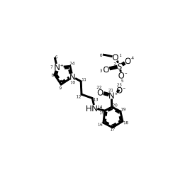 COS(=O)(=O)[O-].C[n+]1ccn(CCCNc2ccccc2[N+](=O)[O-])c1